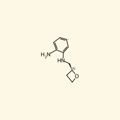 Nc1cc[c]cc1NC[C@@H]1CCO1